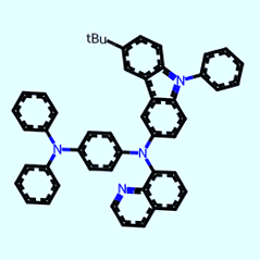 CC(C)(C)c1ccc2c(c1)c1cc(N(c3ccc(N(c4ccccc4)c4ccccc4)cc3)c3cccc4cccnc34)ccc1n2-c1ccccc1